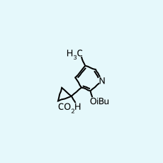 Cc1cnc(OCC(C)C)c(C2(C(=O)O)CC2)c1